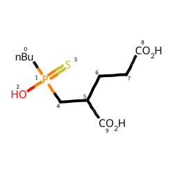 CCCCP(O)(=S)CC(CCC(=O)O)C(=O)O